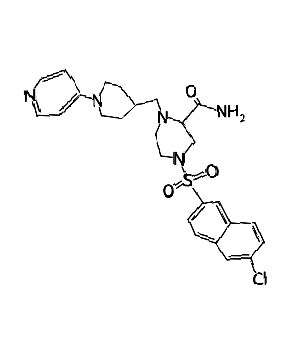 NC(=O)C1CN(S(=O)(=O)c2ccc3cc(Cl)ccc3c2)CCN1CC1CCN(c2ccncc2)CC1